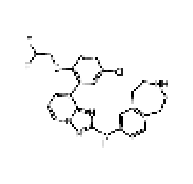 FC(F)COc1ccc(Cl)cc1-c1cccn2nc(Nc3ccc4c(c3)CCNCC4)nc12